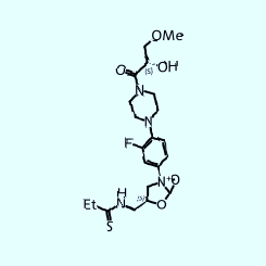 CCC(=S)NC[C@H]1C[N+]2(c3ccc(N4CCN(C(=O)[C@@H](O)COC)CC4)c(F)c3)OC2O1